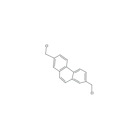 ClCc1ccc2c(ccc3cc(CCl)ccc32)c1